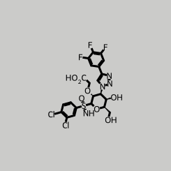 N=S(=O)(c1ccc(Cl)c(Cl)c1)C1O[C@H](CO)[C@H](O)[C@H](n2cc(-c3cc(F)c(F)c(F)c3)nn2)[C@H]1OCC(=O)O